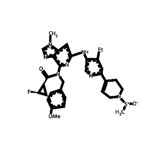 CCc1cc(C2=CCN([S+](C)[O-])CC2)ncc1Nc1cc2c(ncn2C)c(N(Cc2ccc(OC)cc2)C(=O)[C@H]2C[C@H]2F)n1